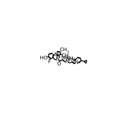 Cc1cn(-c2ccc(O)c(F)c2CNC(=O)/C(N)=C/N(N)Cc2cn3cc(C4CC4)ccc3n2)nc1C